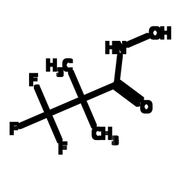 CC(C)(C(=O)NO)C(F)(F)F